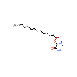 CCCCCCCCCCCCCCCCCCCCCC(=O)OC(C(N)=O)N(C)C